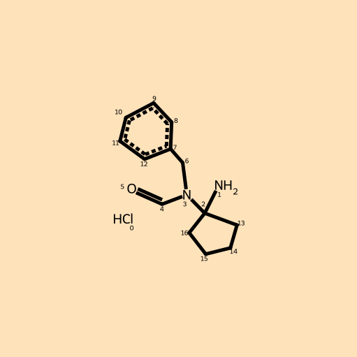 Cl.NC1(N(C=O)Cc2ccccc2)CCCC1